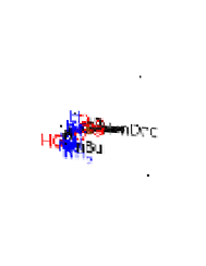 CCCCCCCCCCCCCCCCCC(=O)OCCSCC(NC(=O)OC(C)(C)C)C(=O)Nc1ccc(Cn2c(O)nc3c(N)nc(NCCCC)nc32)cc1